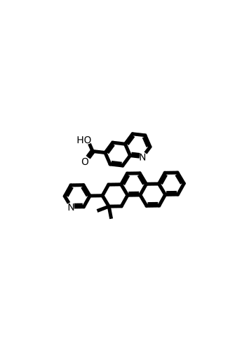 CC1(C)Cc2c(ccc3c2ccc2ccccc23)CC1c1cccnc1.O=C(O)c1ccc2ncccc2c1